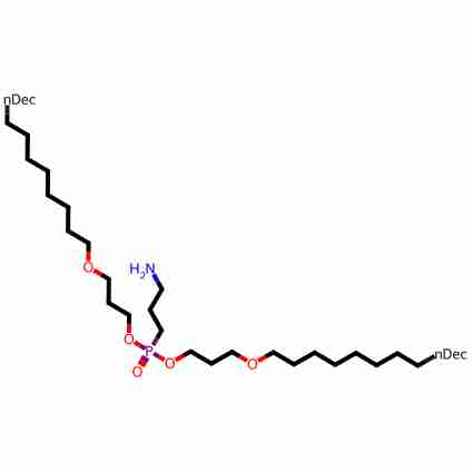 CCCCCCCCCCCCCCCCCCOCCCOP(=O)(CCCN)OCCCOCCCCCCCCCCCCCCCCCC